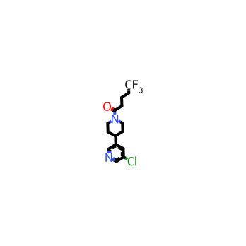 O=C(CCCC(F)(F)F)N1CCC(c2cncc(Cl)c2)CC1